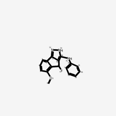 COc1cccc2c1C(F)c1c-2n[nH]c1Nc1ccccc1